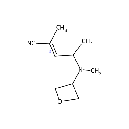 C/C(C#N)=C\C(C)N(C)C1COC1